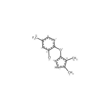 Cc1[nH]nc(Oc2ncc(C(F)(F)F)cc2Cl)c1C